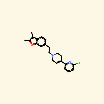 Cc1oc2cc(CCN3CC=C(c4cccc(Cl)n4)CC3)ccc2c1C